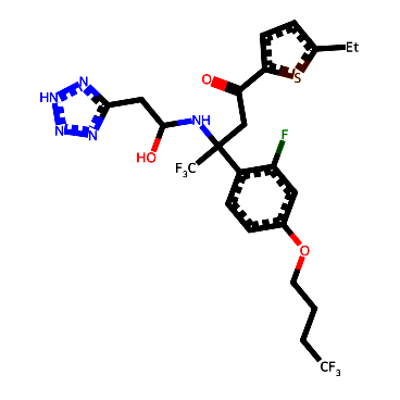 CCc1ccc(C(=O)CC(NC(O)Cc2nn[nH]n2)(c2ccc(OCCCC(F)(F)F)cc2F)C(F)(F)F)s1